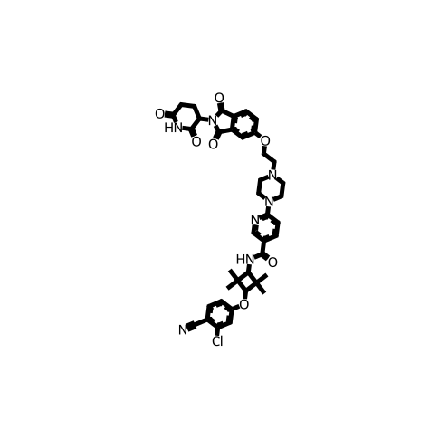 CC1(C)C(NC(=O)c2ccc(N3CCN(CCOc4ccc5c(c4)C(=O)N(C4CCC(=O)NC4=O)C5=O)CC3)nc2)C(C)(C)C1Oc1ccc(C#N)c(Cl)c1